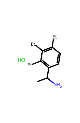 CCc1ccc(C(C)N)c(CC)c1CC.Cl